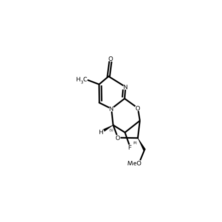 COC[C@H]1O[C@H]2C(F)C1Oc1nc(=O)c(C)cn12